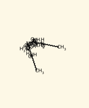 CCCCCCCCCCCCCC(=O)NCCCC[C@H](NC)C(=O)N[C@@H](CSSC[C@H](NC(=O)[C@H](CCCCNC(=O)CCCCCCCCCCCCC)NC)C(N)=O)C(N)=O